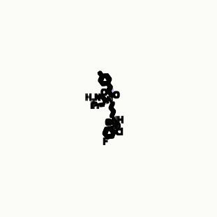 Cc1ccc(/C=C/C(=O)N(CCCCNS(=O)(=O)c2ccc(F)cc2Cl)[C@@H](CC(C)C)C(N)=O)cc1